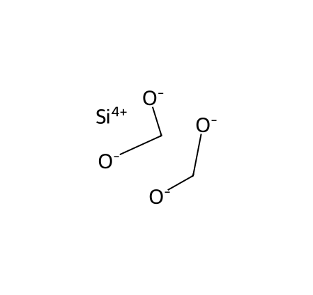 [O-]C[O-].[O-]C[O-].[Si+4]